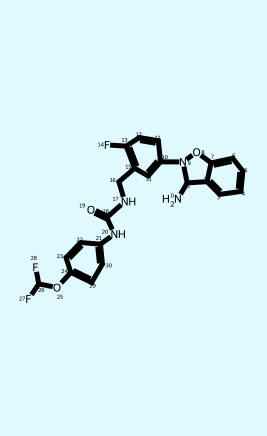 NC1c2ccccc2ON1c1ccc(F)c(CNC(=O)Nc2ccc(OC(F)F)cc2)c1